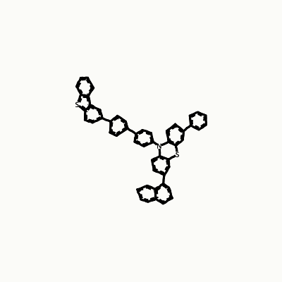 c1ccc(-c2ccc3c(c2)Sc2cc(-c4cccc5ccccc45)ccc2N3c2ccc(-c3ccc(-c4ccc5sc6ccccc6c5c4)cc3)cc2)cc1